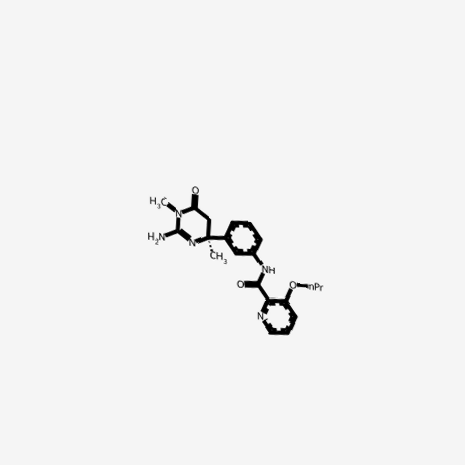 CCCOc1cccnc1C(=O)Nc1cccc([C@]2(C)CC(=O)N(C)C(N)=N2)c1